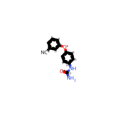 N#Cc1cccc(Oc2ccc(NC(N)=O)cc2)c1